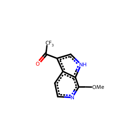 COc1nccc2c(C(=O)C(F)(F)F)c[nH]c12